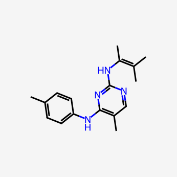 CC(C)=C(C)Nc1ncc(C)c(Nc2ccc(C)cc2)n1